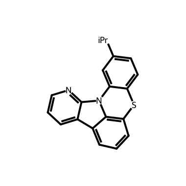 CC(C)c1ccc2c(c1)-n1c3ncccc3c3cccc(c31)S2